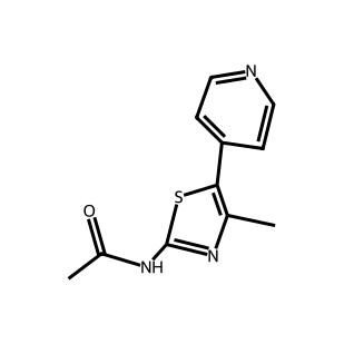 CC(=O)Nc1nc(C)c(-c2ccncc2)s1